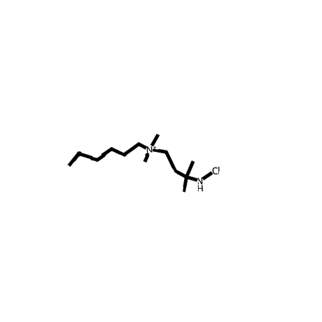 CCCCCC[N+](C)(C)CCC(C)(C)NCl